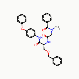 CN(CC(=O)N[C@@H](COCc1ccccc1)C(=O)Nc1ccc(Oc2ccccc2)cc1)C(=O)c1ccccc1